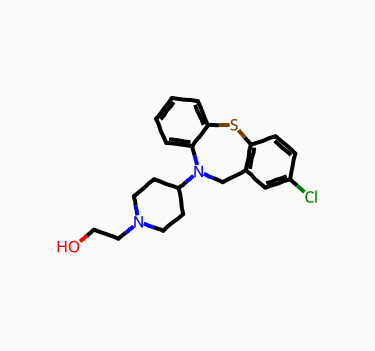 OCCN1CCC(N2Cc3cc(Cl)ccc3Sc3ccccc32)CC1